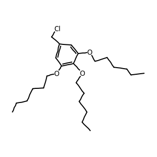 CCCCCCOc1cc(CCl)cc(OCCCCCC)c1OCCCCCC